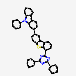 c1ccc(-c2nc(-c3ccccc3)nc(-c3cccc4c3sc3ccc(-c5ccc6c7ccccc7n(-c7ccccc7)c6c5)cc34)n2)cc1